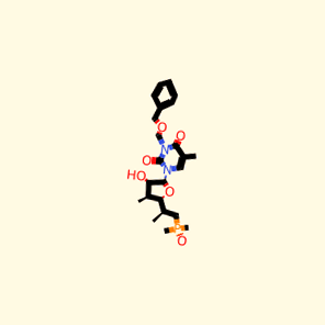 Cc1cn([C@@H]2O[C@H]([C@H](C)CP(C)(C)=O)[C@@H](C)[C@H]2O)c(=O)n(COCc2ccccc2)c1=O